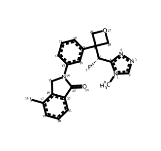 Cn1cnnc1[C@H](F)C1(c2cccc(N3Cc4c(I)cccc4C3=O)c2)COC1